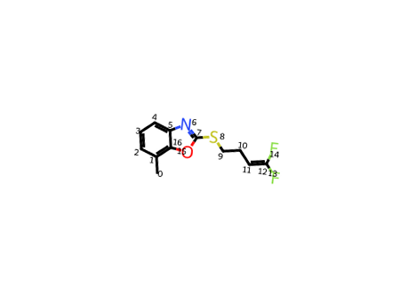 Cc1cccc2nc(SCCC=C(F)F)oc12